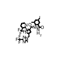 Cc1cc(I)cc(C(N)=O)c1NC(=O)c1cc(Cn2nnc(C(F)(F)F)n2)nn1-c1ncccc1C(F)(F)F